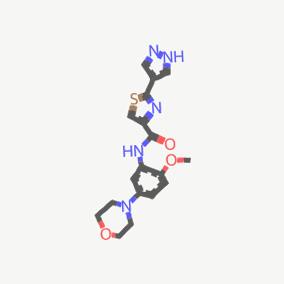 COc1ccc(N2CCOCC2)cc1NC(=O)c1csc(-c2cn[nH]c2)n1